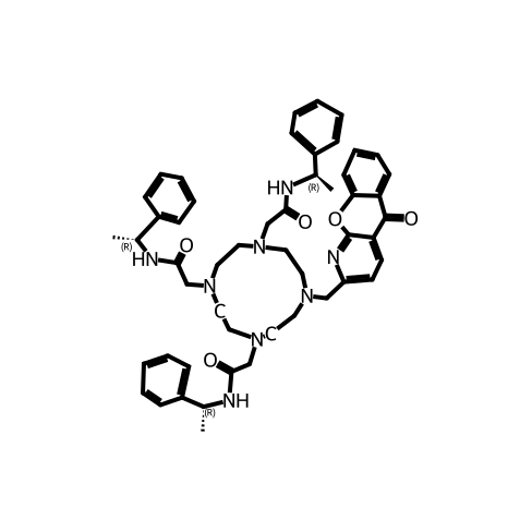 C[C@@H](NC(=O)CN1CCN(CC(=O)N[C@H](C)c2ccccc2)CCN(Cc2ccc3c(=O)c4ccccc4oc3n2)CCN(CC(=O)N[C@H](C)c2ccccc2)CC1)c1ccccc1